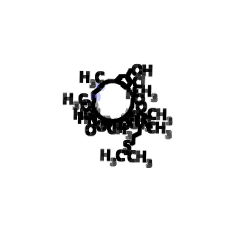 CO[C@@H]1/C=C/C=C(\C)Cc2cc(CO)c(Cl)c(c2)N(C)C(=O)C[C@H](OC(=O)[C@H](C)N(C)C(=O)CCCSC(C)C)[C@]2(C)O[C@H]2[C@H](C)[C@@H]2C[C@@]1(O)NC(=O)O2